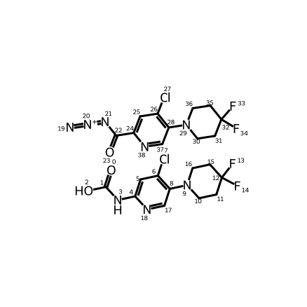 O=C(O)Nc1cc(Cl)c(N2CCC(F)(F)CC2)cn1.[N-]=[N+]=NC(=O)c1cc(Cl)c(N2CCC(F)(F)CC2)cn1